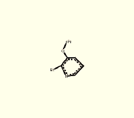 CCCOc1[c]ccnc1CC